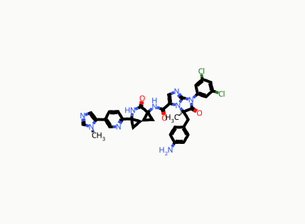 Cn1cncc1-c1ccc(C2(NC(=O)C3(NC(=O)c4cnc5n4[C@](C)(Cc4ccc(N)cc4)C(=O)N5c4cc(Cl)cc(Cl)c4)CC3)CC2)nc1